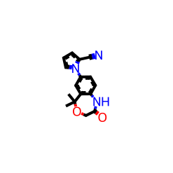 CC1(C)OCC(=O)Nc2ccc(-n3cccc3C#N)cc21